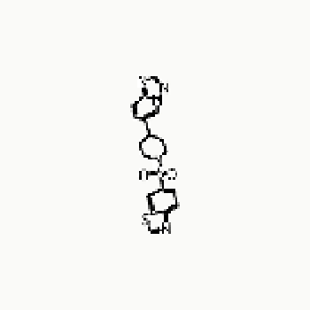 O=S(=O)(c1ccc2ncsc2c1)N1CCC(c2ccc3ncnn3c2)CC1